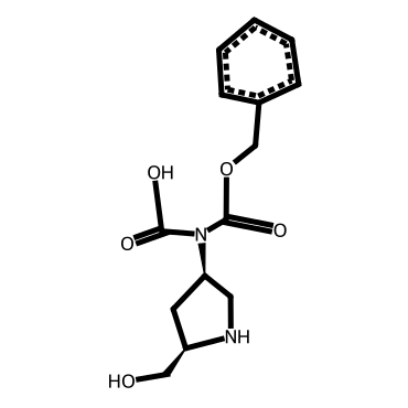 O=C(O)N(C(=O)OCc1ccccc1)[C@H]1CN[C@@H](CO)C1